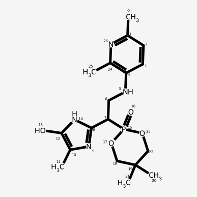 Cc1ccc(NCC(c2nc(C)c(O)[nH]2)P2(=O)OCC(C)(C)CO2)c(C)n1